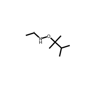 C[CH]NOC(C)(C)C(C)C